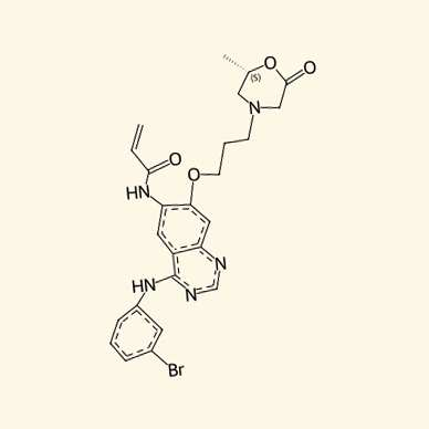 C=CC(=O)Nc1cc2c(Nc3cccc(Br)c3)ncnc2cc1OCCCN1CC(=O)O[C@@H](C)C1